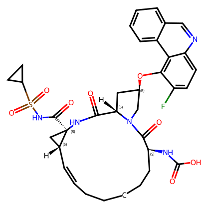 O=C(O)N[C@H]1CCCCCC=C[C@@H]2C[C@@]2(C(=O)NS(=O)(=O)C2CC2)NC(=O)[C@@H]2C[C@@H](Oc3c(F)ccc4ncc5ccccc5c34)CN2C1=O